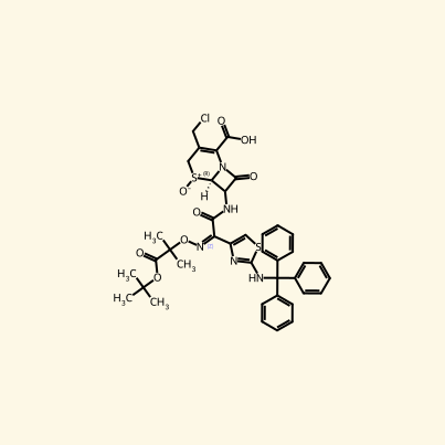 CC(C)(C)OC(=O)C(C)(C)O/N=C(\C(=O)NC1C(=O)N2C(C(=O)O)=C(CCl)C[S+]([O-])[C@H]12)c1csc(NC(c2ccccc2)(c2ccccc2)c2ccccc2)n1